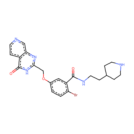 O=C(NCCC1CCNCC1)c1cc(OCc2nc3cnccc3c(=O)[nH]2)ccc1Br